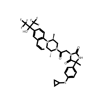 C/C=C\c1cc(C(O)(C(F)(F)F)C(F)(F)F)ccc1N1C[C@@H](C)N(C(=O)CN2C(=O)NC(C)(c3ccc(SC4CC4)cc3)C2=O)C[C@@H]1C